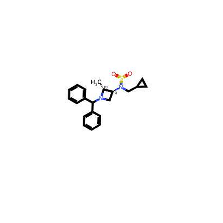 C[C@@H]1[C@@H](N(CC2CC2)[SH](=O)=O)CN1C(c1ccccc1)c1ccccc1